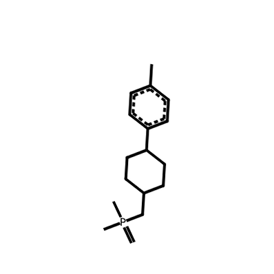 C=P(C)(C)CC1CCC(c2ccc(C)cc2)CC1